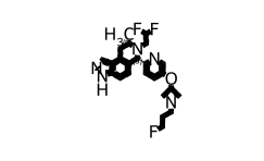 C[C@@H]1Cc2c(ccc3[nH]ncc23)[C@@H](c2ccc(OC3CN(CCCF)C3)cn2)N1CC(F)F